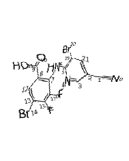 N#Cc1cnc(Nc2c(C(=O)O)cc(Br)c(F)c2F)c(Br)c1